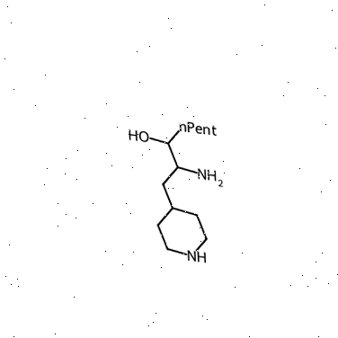 CCCCCC(O)C(N)CC1CCNCC1